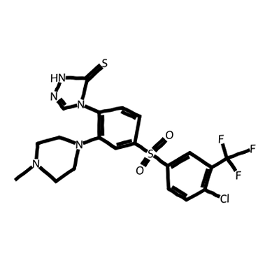 CN1CCN(c2cc(S(=O)(=O)c3ccc(Cl)c(C(F)(F)F)c3)ccc2-n2cn[nH]c2=S)CC1